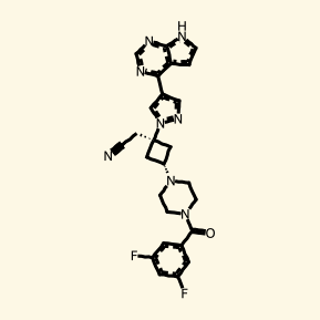 N#CC[C@]1(n2cc(-c3ncnc4[nH]ccc34)cn2)C[C@H](N2CCN(C(=O)c3cc(F)cc(F)c3)CC2)C1